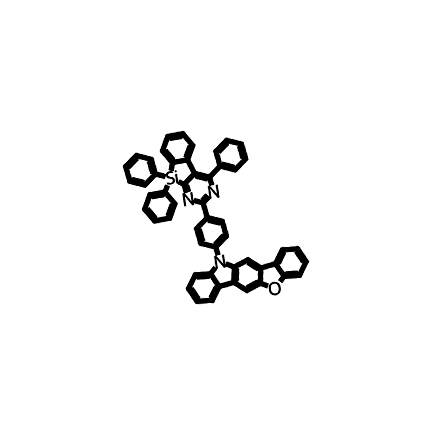 c1ccc(-c2nc(-c3ccc(-n4c5ccccc5c5cc6oc7ccccc7c6cc54)cc3)nc3c2-c2ccccc2[Si]3(c2ccccc2)c2ccccc2)cc1